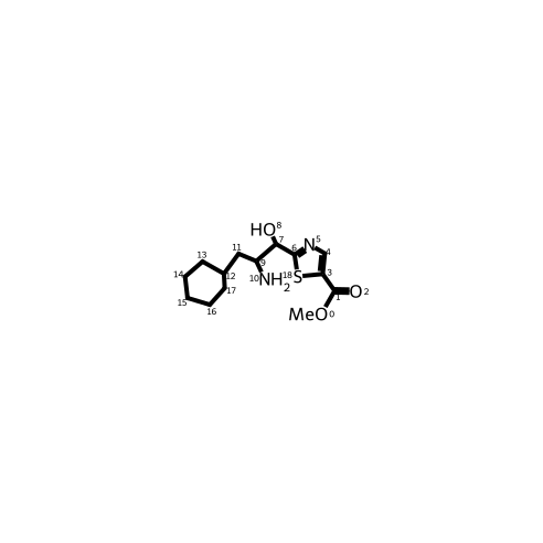 COC(=O)c1cnc(C(O)C(N)CC2CCCCC2)s1